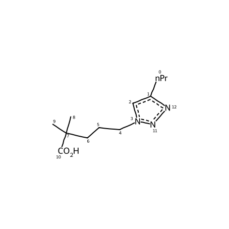 CCCc1cn(CCCC(C)(C)C(=O)O)nn1